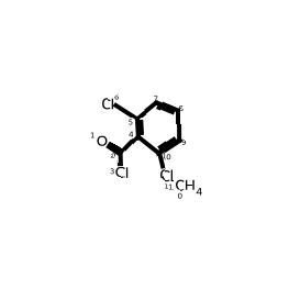 C.O=C(Cl)c1c(Cl)cccc1Cl